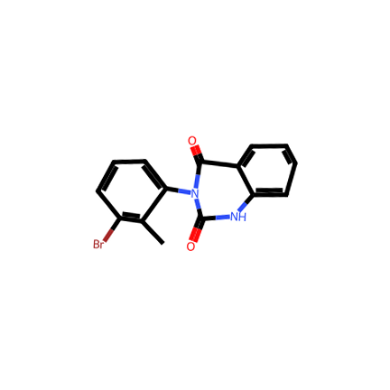 Cc1c(Br)cccc1-n1c(=O)[nH]c2ccccc2c1=O